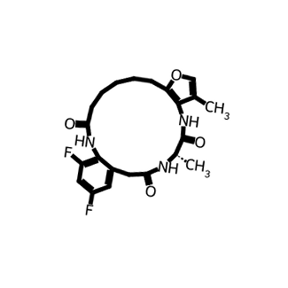 Cc1coc2c1NC(=O)[C@H](C)NC(=O)Cc1cc(F)cc(F)c1NC(=O)CCCCC2